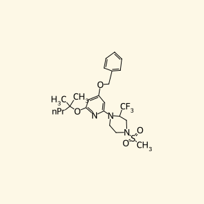 CCCC(C)(C)Oc1cc(OCc2ccccc2)cc(N2CCN(S(C)(=O)=O)CC2C(F)(F)F)n1